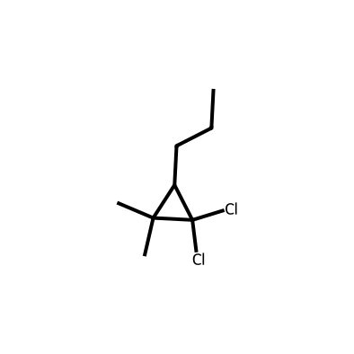 CCCC1C(C)(C)C1(Cl)Cl